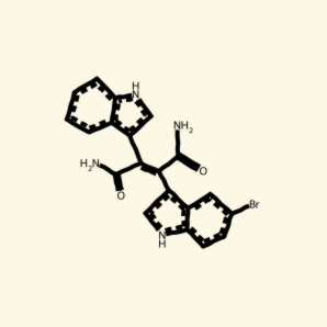 NC(=O)C(=C(C(N)=O)c1c[nH]c2ccc(Br)cc12)c1c[nH]c2ccccc12